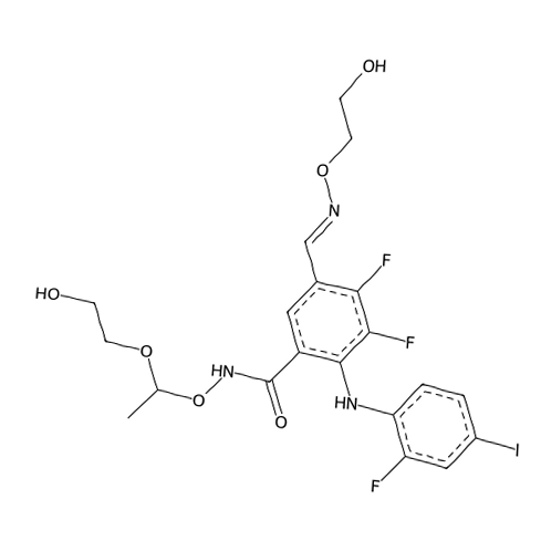 CC(OCCO)ONC(=O)c1cc(C=NOCCO)c(F)c(F)c1Nc1ccc(I)cc1F